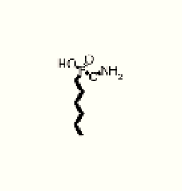 CCCCCCP(=O)(O)ON